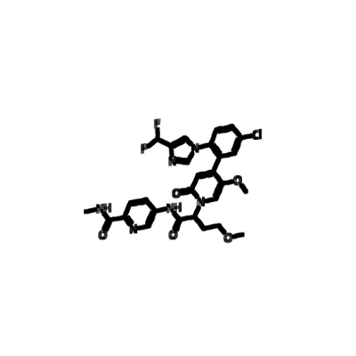 CNC(=O)c1ccc(NC(=O)C(CCOC)n2cc(OC)c(-c3cc(Cl)ccc3-n3cnc(C(F)F)c3)cc2=O)cn1